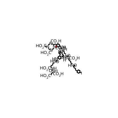 O=C(O)CC[C@H](NC(=O)N[C@@H](CCCCNC(=O)Nc1cccc(-c2cnnn2CC(=O)N[C@@H](CCCCNC(=S)Nc2ccc(CC3CN(CC(=O)O)CCN(CC(=O)O)CCN(CC(=O)O)CCN3CC(=O)O)cc2)C(=O)N[C@@H](CCCCNC(=O)CCCc2ccc(I)cc2)C(=O)O)c1)C(=O)O)C(=O)O